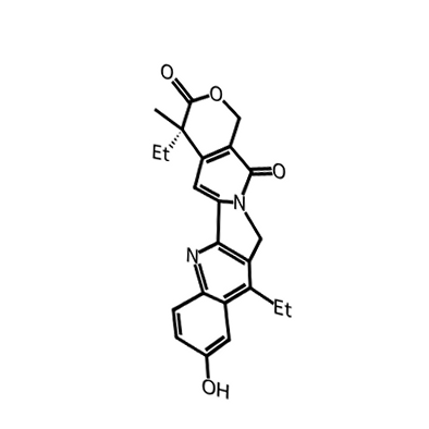 CCc1c2c(nc3ccc(O)cc13)-c1cc3c(c(=O)n1C2)COC(=O)[C@@]3(C)CC